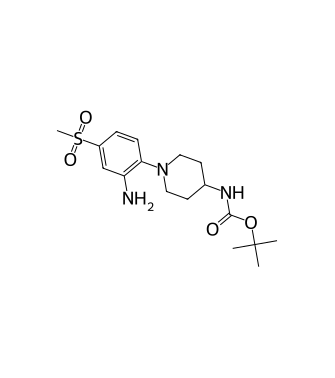 CC(C)(C)OC(=O)NC1CCN(c2ccc(S(C)(=O)=O)cc2N)CC1